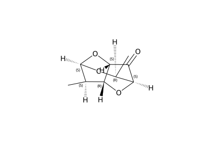 C[C@@H]1[C@H]2O[C@@H]3C(=O)[C@H]2O[C@H]1C[C@H]3C